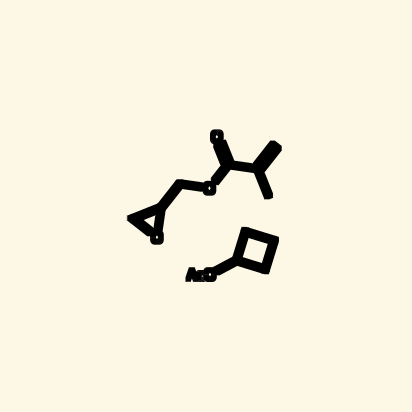 C=C(C)C(=O)OCC1CO1.CC(=O)OC1CCC1